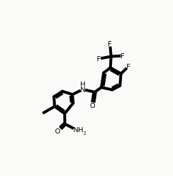 Cc1ccc(NC(=O)c2ccc(F)c(C(F)(F)F)c2)cc1C(N)=O